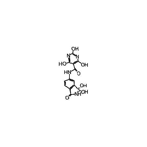 O=C1NS(O)(O)c2cc(NC(=O)c3c(O)nc(O)nc3O)ccc21